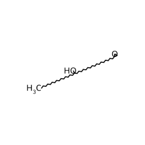 CCCCCCCCCCCCCCCCC(O)CCCCCCCCCCCCCCCCCC1CO1